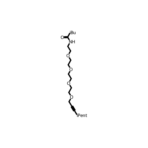 CCCC(C)C#CCOCCOCCOCCOCCNC(=O)C(C)CC